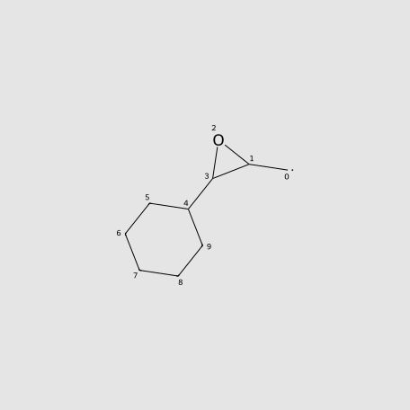 [CH2]C1OC1C1CCCCC1